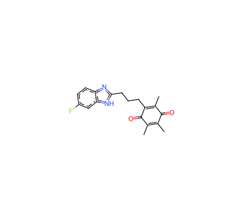 CC1=C(C)C(=O)C(CCCc2nc3ccc(F)cc3[nH]2)=C(C)C1=O